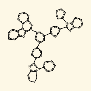 C1=Cc2nc(-c3ccc(-c4cc(-c5ccc(-c6nc7ccccc7n6-c6ccccc6)cc5)cc(-c5nc6ccccc6c6c5oc5ccccc56)c4)cc3)n(-c3ccccc3)c2CC1